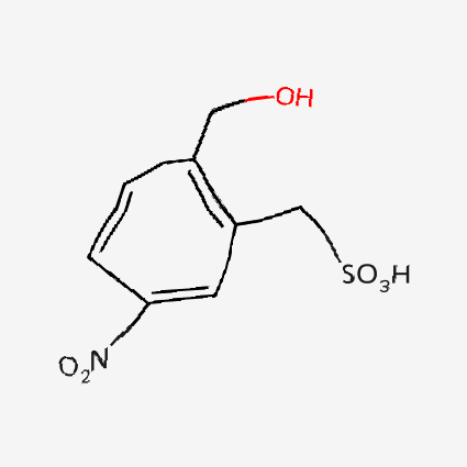 O=[N+]([O-])c1ccc(CO)c(CS(=O)(=O)O)c1